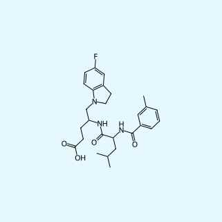 Cc1cccc(C(=O)NC(CC(C)C)C(=O)NC(CCC(=O)O)CN2CCc3cc(F)ccc32)c1